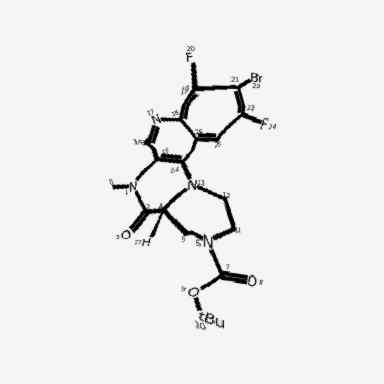 CN1C(=O)[C@H]2CN(C(=O)OC(C)(C)C)CCN2c2c1cnc1c(F)c(Br)c(F)cc21